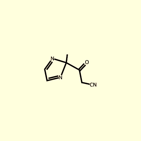 CC1(C(=O)CC#N)N=CC=N1